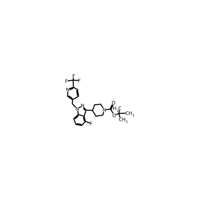 CC(C)(C)OC(=O)N1CCC(c2nn(Cc3ccc(C(F)(F)F)nc3)c3cccc(F)c23)CC1